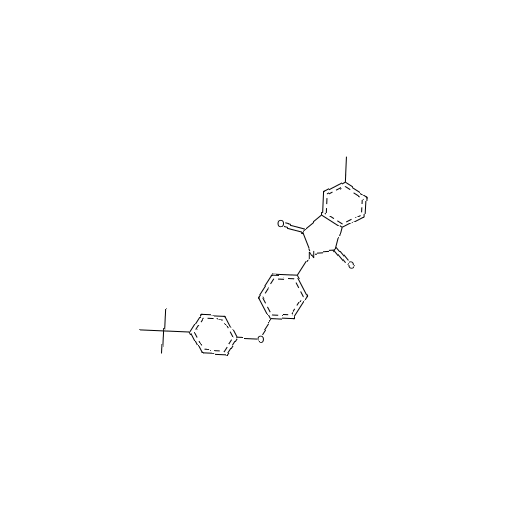 Cc1ccc2c(c1)C(=O)N(c1ccc(Oc3ccc(C(C)(C)C)cc3)cc1)C2=O